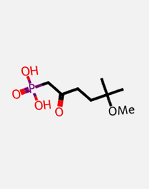 COC(C)(C)CCC(=O)CP(=O)(O)O